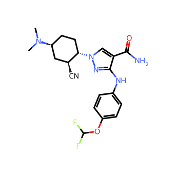 CN(C)[C@H]1CC[C@H](n2cc(C(N)=O)c(Nc3ccc(OC(F)F)cc3)n2)[C@@H](C#N)C1